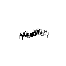 CC(C)(C)OC(=O)N1CCC2(CC1)CC(Oc1cncc(C(F)(F)F)c1)C2